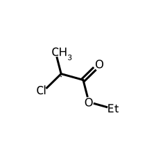 CCOC(=O)[C](C)Cl